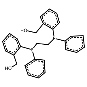 OCc1ccccc1P(CCP(c1ccccc1)c1ccccc1CO)c1ccccc1